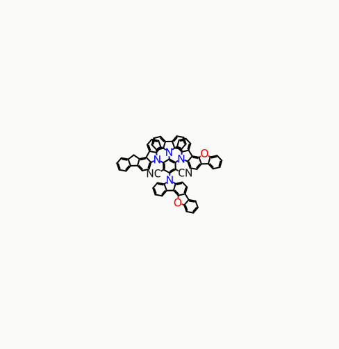 N#Cc1c(-n2c3ccccc3c3c4c(ccc32)-c2ccccc2C4)c(-n2c3ccccc3c3ccccc32)c(-n2c3ccccc3c3c4oc5ccccc5c4ccc32)c(C#N)c1-n1c2ccccc2c2c3oc4ccccc4c3ccc21